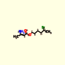 CC(N)=CC(=O)OCCCCC(C)Br